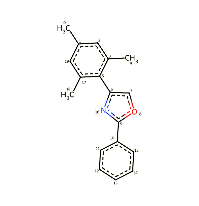 Cc1cc(C)c(-c2coc(-c3ccccc3)n2)c(C)c1